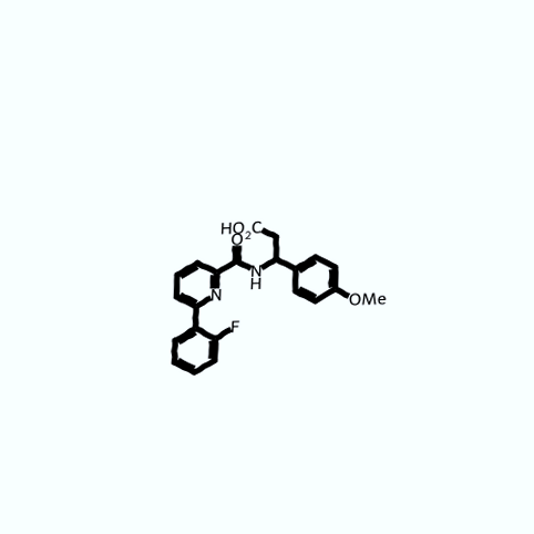 COc1ccc(C(CC(=O)O)NC(=O)c2cccc(-c3ccccc3F)n2)cc1